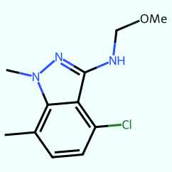 COCNc1nn(C)c2c(C)ccc(Cl)c12